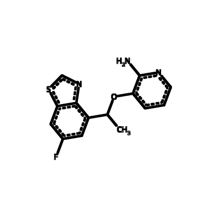 CC(Oc1cccnc1N)c1cc(F)cc2scnc12